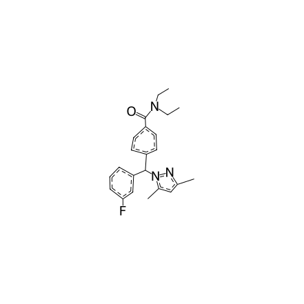 CCN(CC)C(=O)c1ccc(C(c2cccc(F)c2)n2nc(C)cc2C)cc1